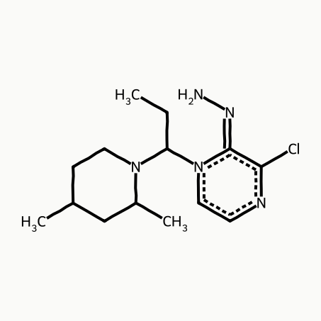 CCC(N1CCC(C)CC1C)n1ccnc(Cl)/c1=N/N